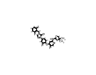 CC1(C)COC(Nc2cc(Oc3ccc(-n4ncn(Cc5c(F)cccc5F)c4=O)cc3F)c(F)cn2)=N1